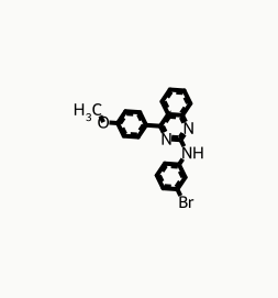 COc1ccc(-c2nc(Nc3cccc(Br)c3)nc3ccccc23)cc1